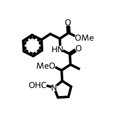 COC(=O)C(Cc1ccccc1)NC(=O)C(C)C(OC)C1CCCN1C=O